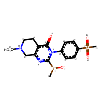 C[S+]([O-])c1nc2c(c(=O)n1-c1ccc(S(C)(=O)=O)cc1)CCN(C(=O)O)C2